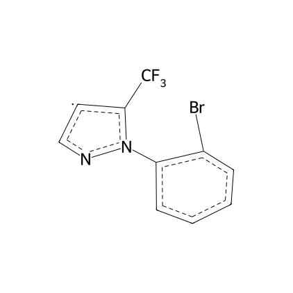 FC(F)(F)c1[c]cnn1-c1ccccc1Br